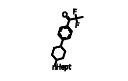 CCCCCCCC1CCC(c2ccc(C(=O)C(C)(F)F)cc2)CC1